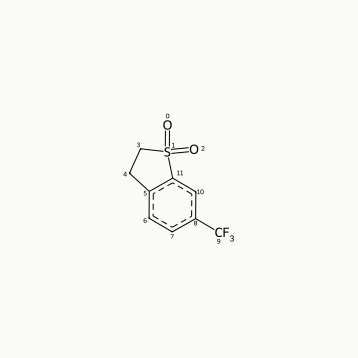 O=S1(=O)CCc2ccc(C(F)(F)F)cc21